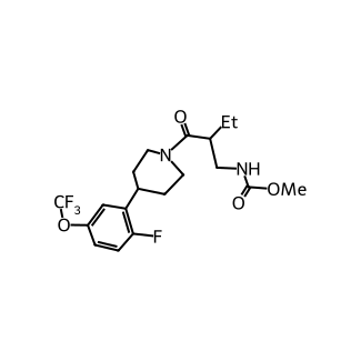 CCC(CNC(=O)OC)C(=O)N1CCC(c2cc(OC(F)(F)F)ccc2F)CC1